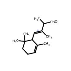 CC1=CCCC(C)(C)C1/C=C(\C)C(C)C=O